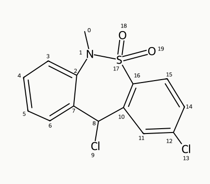 CN1c2ccccc2C(Cl)c2cc(Cl)ccc2S1(=O)=O